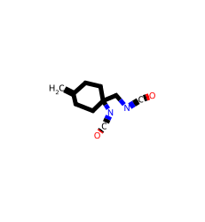 C=C1CCC(CN=C=O)(N=C=O)CC1